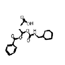 CC(=O)O.CC(OC(=O)NCC1CCCCC1)OC(=O)c1ccccc1